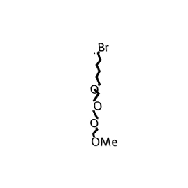 COCCOCCOCCOCCCCC[CH]Br